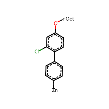 CCCCCCCCOc1ccc(-c2cc[c]([Zn])cc2)c(Cl)c1